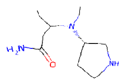 CC(C(N)=O)N(C)[C@H]1CCNC1